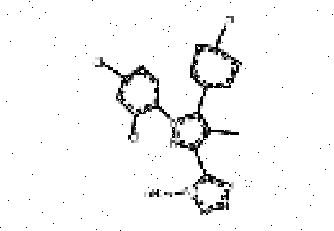 CCCCCCn1nnnc1-c1nn(-c2ccc(Cl)cc2Cl)c(-c2ccc(Cl)cc2)c1C